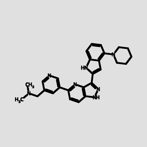 CN(C)Cc1cncc(-c2ccc3[nH]nc(-c4cc5c(N6CCCCC6)cccc5[nH]4)c3n2)c1